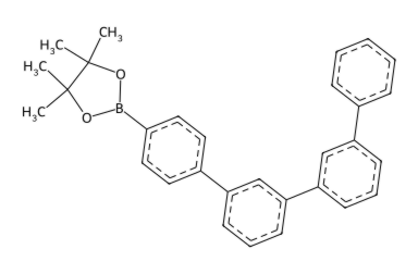 CC1(C)OB(c2ccc(-c3cccc(-c4cccc(-c5ccccc5)c4)c3)cc2)OC1(C)C